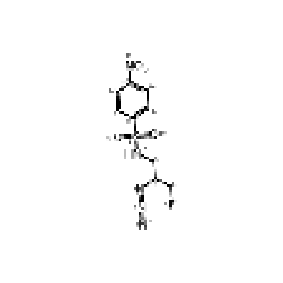 [N-]=[N+]=NC(CF)CNS(=O)(=O)c1ccc([N+](=O)[O-])cc1